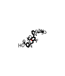 COc1nnc(COc2cccc(-c3ccc(Cc4nc5ccc(C(=O)O)cc5n4[C@@H]4COCC4(C)C)c(F)c3)n2)s1